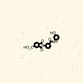 O=C(O)c1ccc2c(c1)C(=O)N(c1cccc(C(=O)Nc3cccc(O)c3)c1)C2=O